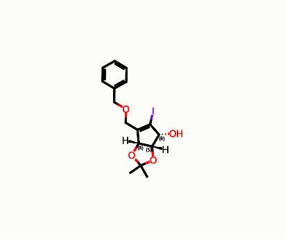 CC1(C)O[C@@H]2[C@H](O1)C(COCc1ccccc1)=C(I)[C@@H]2O